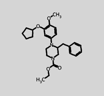 CCOC(=O)N1CCN(c2ccc(OC)c(OC3CCCC3)c2)C(Cc2ccccc2)C1